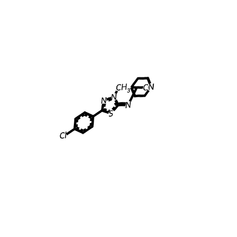 Cn1nc(-c2ccc(Cl)cc2)sc1=NC1CN2CCC1CC2